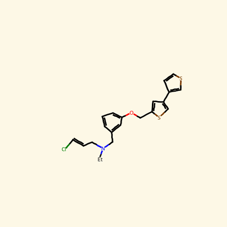 CCN(C/C=C/Cl)Cc1cccc(OCc2cc(-c3ccsc3)cs2)c1